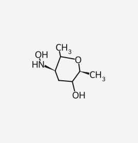 CC1O[C@@H](C)C(O)C[C@H]1NO